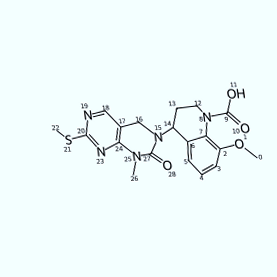 COc1cccc2c1N(C(=O)O)CCC2N1Cc2cnc(SC)nc2N(C)C1=O